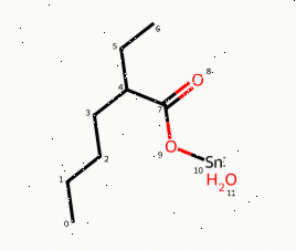 CCCCC(CC)C(=O)[O][Sn].O